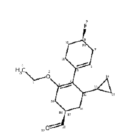 CCOC1=C(C2=CC[C@H](F)CC2)C(C2CC2)C[C@@H](C=O)C1